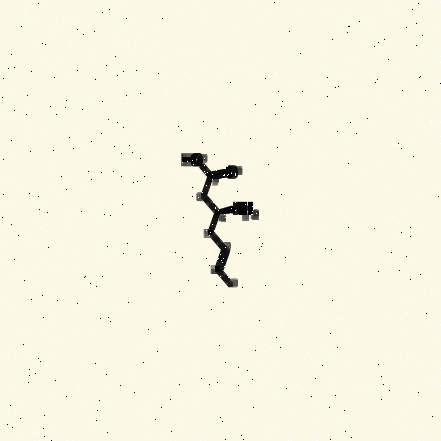 CC=CC[C@H](N)CC(=O)O